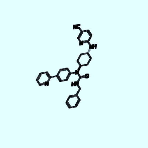 N#Cc1ccc(N[C@H]2CC[C@H](N(C(=O)NCc3ccccc3)c3ccc(-c4ccccn4)cc3)CC2)nc1